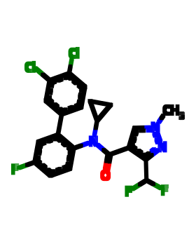 Cn1cc(C(=O)N(c2ccc(F)cc2-c2ccc(Cl)c(Cl)c2)C2CC2)c(C(F)F)n1